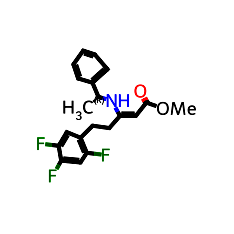 COC(=O)C=C(CCc1cc(F)c(F)cc1F)N[C@H](C)c1ccccc1